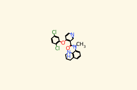 CN(C(=O)c1cnccc1Oc1cc(Cl)ccc1Cl)c1cccc2c1NCCC2